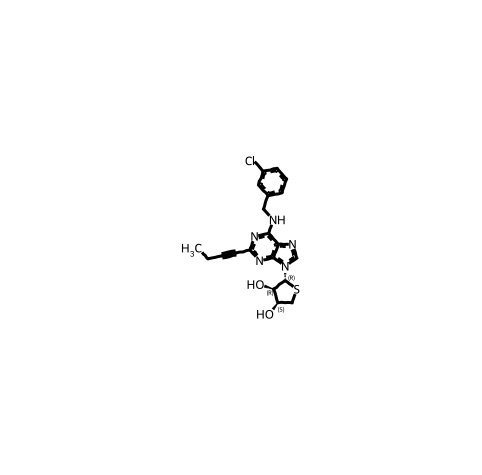 CCC#Cc1nc(NCc2cccc(Cl)c2)c2ncn([C@@H]3SC[C@@H](O)[C@H]3O)c2n1